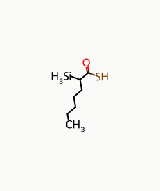 CCCCCC([SiH3])C(=O)S